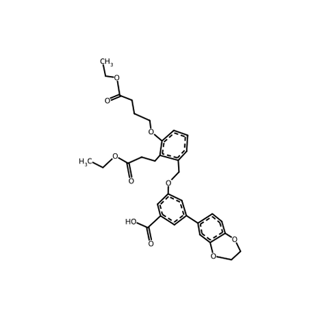 CCOC(=O)CCCOc1cccc(COc2cc(C(=O)O)cc(-c3ccc4c(c3)OCCO4)c2)c1CCC(=O)OCC